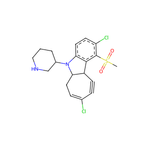 CS(=O)(=O)c1c(Cl)ccc2c1C1C#CC(Cl)=CCC1N2C1CCCNC1